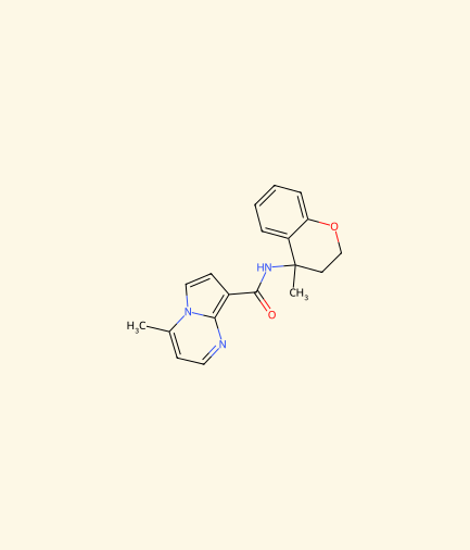 Cc1ccnc2c(C(=O)NC3(C)CCOc4ccccc43)ccn12